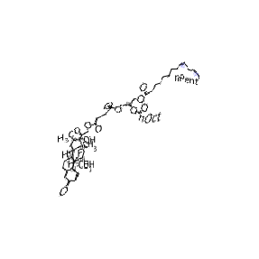 CCCCC/C=C\C/C=C\CCCCCCCC(=O)OC[C@H](COC(=O)CCC(=O)OCC(=O)[C@@]1(O)[C@H](C)C[C@H]2[C@@H]3CCC4=CC(=O)C=C[C@]4(C)[C@@]3(F)[C@@H](O)C[C@@]21C)OC(=O)CCCCCCCC